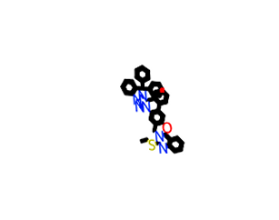 CCSc1nc2ccccc2c(=O)n1Cc1ccc(-c2ccccc2-c2nnnn2C(c2ccccc2)(c2ccccc2)c2ccccc2)cc1